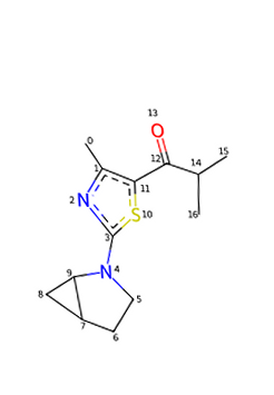 Cc1nc(N2CCC3CC32)sc1C(=O)C(C)C